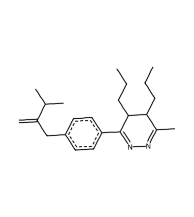 C=C(Cc1ccc(C2=NN=C(C)C(CCC)C2CCC)cc1)C(C)C